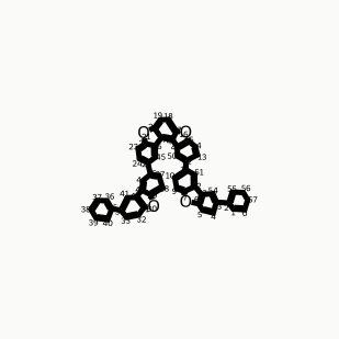 C1=CC(c2ccc3oc4ccc(-c5ccc6oc7ccc8oc9ccc(-c%10ccc%11oc%12ccc(-c%13ccccc%13)cc%12c%11c%10)cc9c8c7c6c5)cc4c3c2)=CCC1